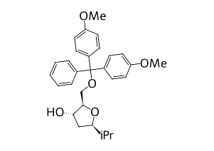 COc1ccc(C(OC[C@H]2O[C@@H](C(C)C)C[C@@H]2O)(c2ccccc2)c2ccc(OC)cc2)cc1